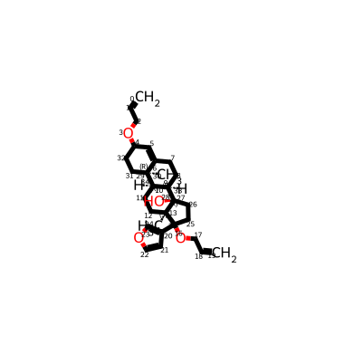 C=CCOC1C=C2CC[C@@H]3[C@@H](CC[C@]4(C)C(OCC=C)(c5ccoc5)CC[C@@]34O)[C@@]2(C)CC1